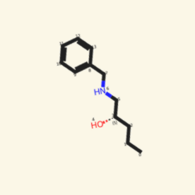 CCC[C@H](O)CNCc1ccccc1